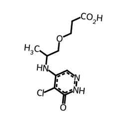 CC(COCCC(=O)O)Nc1cn[nH]c(=O)c1Cl